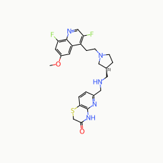 COc1cc(F)c2ncc(F)c(CCN3CC[C@@H](CNCc4ccc5c(n4)NC(=O)CS5)C3)c2c1